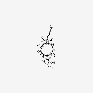 C=CC[C@H]1NC[C@H](C)C[C@@](C)(OC)[C@H](O[C@@H]2OC(C)CC(N)C2O)[C@@H](C)C(=O)[C@@H](C)C(=O)O[C@H](CC)[C@@]2(C)OC(=O)N(CCCCN=[N+]=[N-])[C@H]12